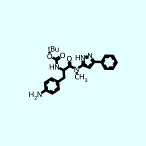 CN(C(=O)C(Cc1ccc(N)cc1)NC(=O)OC(C)(C)C)c1cc(-c2ccccc2)n[nH]1